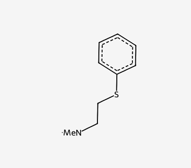 C[N]CCSc1ccccc1